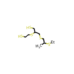 CCSC(C)CSCC(CS)SCCS